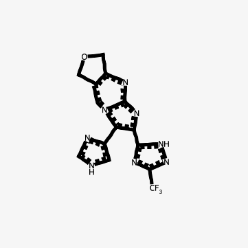 FC(F)(F)c1n[nH]c(-c2nc3nc4c(cn3c2-c2c[nH]cn2)COC4)n1